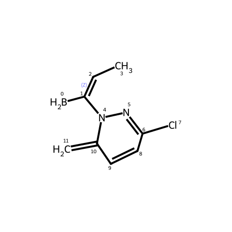 B/C(=C/C)N1N=C(Cl)C=CC1=C